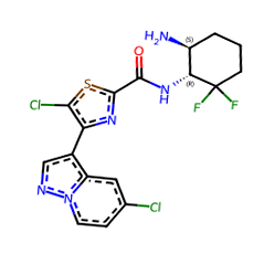 N[C@H]1CCCC(F)(F)[C@@H]1NC(=O)c1nc(-c2cnn3ccc(Cl)cc23)c(Cl)s1